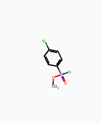 O=P(Cl)(OC(Cl)(Cl)Cl)c1ccc(Cl)cc1